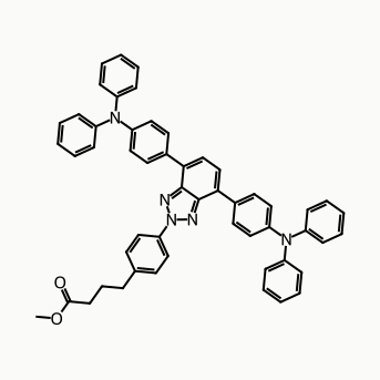 COC(=O)CCCc1ccc(-n2nc3c(-c4ccc(N(c5ccccc5)c5ccccc5)cc4)ccc(-c4ccc(N(c5ccccc5)c5ccccc5)cc4)c3n2)cc1